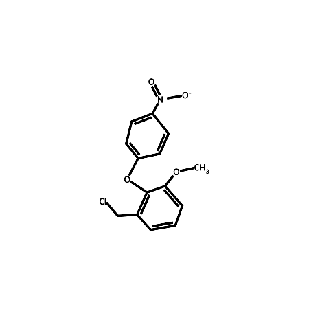 COc1cccc(CCl)c1Oc1ccc([N+](=O)[O-])cc1